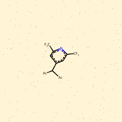 CC(=O)C(C(C)=O)c1cc(C(F)(F)F)nc(C(F)(F)F)c1